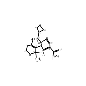 COC(=O)C1=CC(C2=C(C)CCCC2(C)C)N(CC2CCC2)C=C1